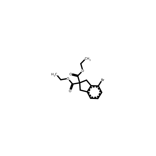 CCOC(=O)C1(C(=O)OCC)Cc2cccc(Br)c2C1